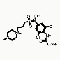 COC(=O)Nc1c(Cl)cc(N(O)S(=O)(=O)CCC[N+]2(C)CCN(C)CC2)cc1Cl